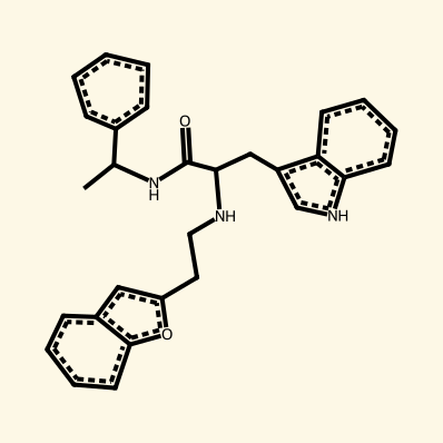 CC(NC(=O)C(Cc1c[nH]c2ccccc12)NCCc1cc2ccccc2o1)c1ccccc1